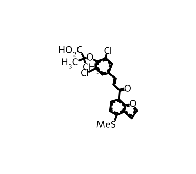 CSc1ccc(C(=O)/C=C/c2cc(Cl)c(OC(C)(C)C(=O)O)c(Cl)c2)c2occc12